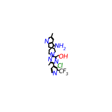 Cc1cnc2c(c1)[C@@H](N)C1(CCN(c3nc(C)c(-c4ccnc(C(F)(F)F)c4Cl)nc3CO)CC1)C2